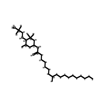 CCCCCCCCCCC(C)CCCCCCC(=O)OC1CC(C)N(OCC(C)(C)O)C(C)(C)C1